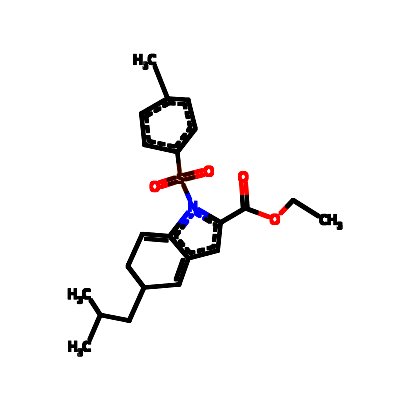 CCOC(=O)c1cc2c(n1S(=O)(=O)c1ccc(C)cc1)=CCC(CC(C)C)C=2